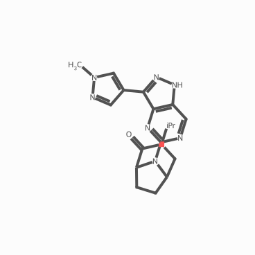 CC(C)N1CC2CCC(C1=O)N2c1ncc2[nH]nc(-c3cnn(C)c3)c2n1